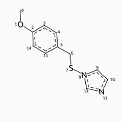 COc1ccc(CSn2ccnc2)cc1